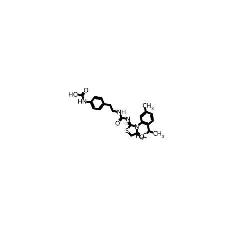 Cc1ccc(C(C)C)c(N2C(=O)CS/C2=N\C(=O)NCCc2ccc(NC(=O)O)cc2)c1